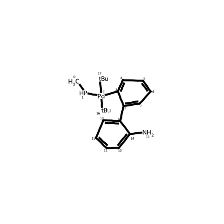 C[PH][Pd]([c]1ccccc1-c1ccccc1N)([C](C)(C)C)[C](C)(C)C